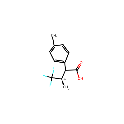 Cc1ccc(C(C(=O)O)[C@@H](C)C(F)(F)F)cc1